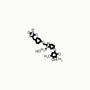 Cc1cc(Oc2ccc3nc(COc4ccc(CC5SC(=O)NC5=O)cc4)n(C)c3c2)c(Cl)c(C)c1O.Cl